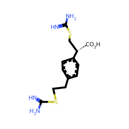 N=C(N)SCCc1ccc([C@H](CSC(=N)N)C(=O)O)cc1